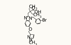 CCC(CC)(Cc1nc2ccc(OCc3ccn(C)n3)cc2n1Cc1cccc(Br)c1)C(=O)O